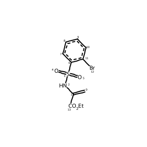 C=C(NS(=O)(=O)c1ccccc1Br)C(=O)OCC